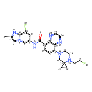 Cc1cn2cc(NC(=O)c3ccc(N4CCN(CCF)C5(CC5)C4)c4nccnc34)cc(F)c2n1